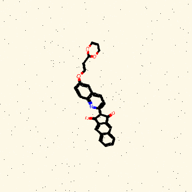 O=C1c2cc3ccccc3cc2C(=O)C1c1ccc2cc(OCCC3OCCCO3)ccc2n1